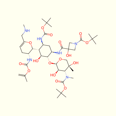 C=C(C)OC(=O)N[C@@H]1CC=C(CNC)OC1[C@H]1[C@H](O)[C@@H](O[C@H]2OC[C@](C)(O)[C@H](N(C)C(=O)OC(C)(C)C)[C@H]2O)[C@H](NC(=O)C2(O)CN(C(=O)OC(C)(C)C)C2)C[C@@H]1NC(=O)OC(C)(C)C